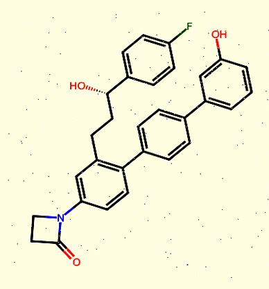 O=C1CCN1c1ccc(-c2ccc(-c3cccc(O)c3)cc2)c(CC[C@H](O)c2ccc(F)cc2)c1